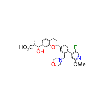 COc1cc(-c2ccc(C3CCc4ccc([C@H](O)[C@H](C)C(=O)O)cc4O3)cc2CN2CCOCC2)c(F)cn1